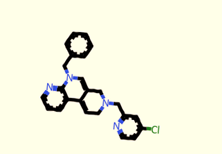 Clc1ccnc(CN2CC=C3C(=CN(Cc4ccccc4)c4ncccc43)C2)c1